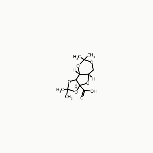 CC1(C)OC[C@@H]2OC3(C(=O)O)OC(C)(C)O[C@H]3[C@@H]2O1